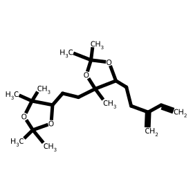 C=CC(=C)CCC1OC(C)(C)OC1(C)CCC1OC(C)(C)OC1(C)C